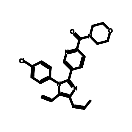 C=Cc1c(/C=C\C)nc(-c2ccc(C(=O)N3CCOCC3)nc2)n1-c1ccc(Cl)cc1